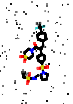 C=CS(=O)(=O)NC[C@H]1CCCN1S(=O)(=O)c1ccc(C(Cc2ccc(C(C)(F)F)cc2)C(=O)N2CCS(=O)(=O)CC2)cc1